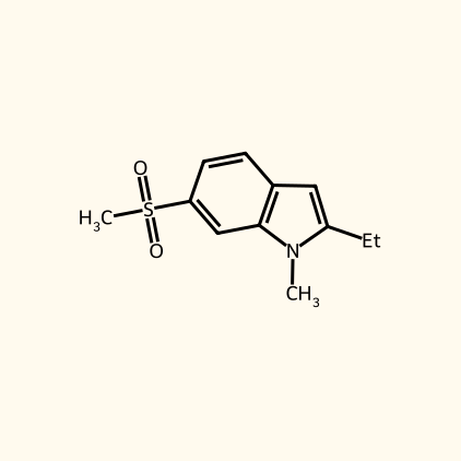 CCc1cc2ccc(S(C)(=O)=O)cc2n1C